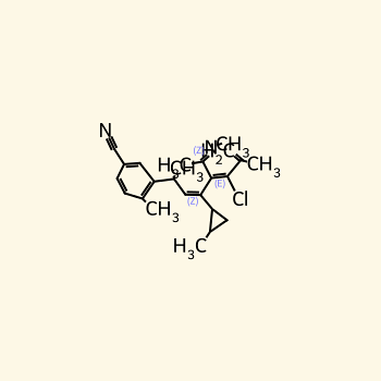 C=C(C)/C(Cl)=C(C(=C\C(C)c1cc(C#N)ccc1C)/C1CC1C)\C(C)=N/C